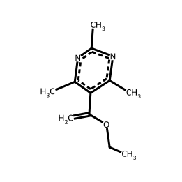 C=C(OCC)c1c(C)nc(C)nc1C